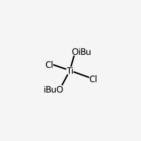 CC(C)C[O][Ti]([Cl])([Cl])[O]CC(C)C